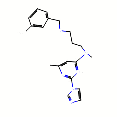 COc1cccc(CNCCCN(C)c2cc(C)nc(-n3ccnc3)n2)c1